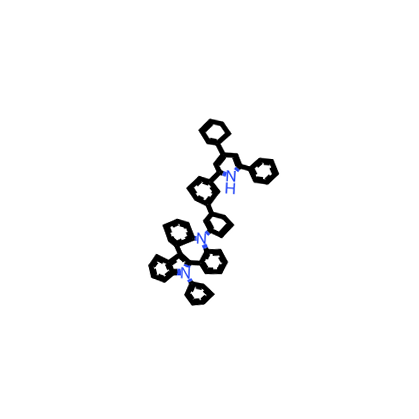 C1=CCCC(C2=CC(c3cccc(C4C=C(N5c6ccccc6-c6c(n(-c7ccccc7)c7ccccc67)-c6ccccc65)C=CC4)c3)NC(c3ccccc3)=C2)=C1